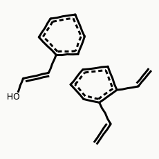 C=Cc1ccccc1C=C.OC=Cc1ccccc1